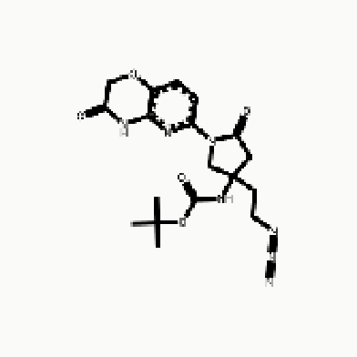 CC(C)(C)OC(=O)NC1(CCN=[N+]=[N-])CC(=O)N(c2ccc3c(n2)NC(=O)CO3)C1